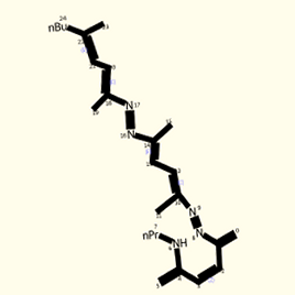 C=C(/C=C\C(=C)NCCC)N=N/C(C)=C/C=C(\C)N=N/C(C)=C/C=C(\C)CCCC